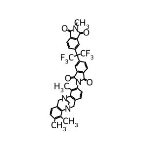 Cc1ccc2c(c1C)N1Cc3ccc(N4C(=O)c5ccc(C(c6ccc7c(c6)C(=O)N(C)C7=O)(C(F)(F)F)C(F)(F)F)cc5C4=O)c(C)c3N(C2)C1